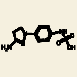 NC1=NN(c2ccc(NS(=O)(=O)O)cc2)CC1